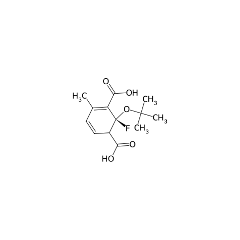 CC1=C(C(=O)O)[C@](F)(OC(C)(C)C)C(C(=O)O)C=C1